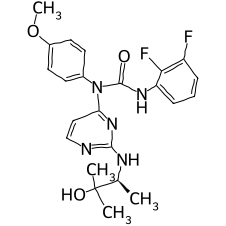 COc1ccc(N(C(=O)Nc2cccc(F)c2F)c2ccnc(N[C@@H](C)C(C)(C)O)n2)cc1